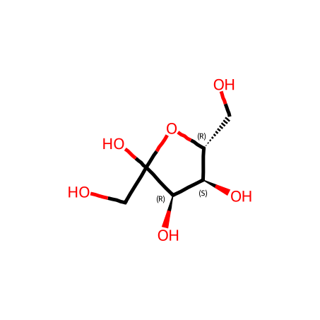 OC[C@H]1OC(O)(CO)[C@H](O)[C@@H]1O